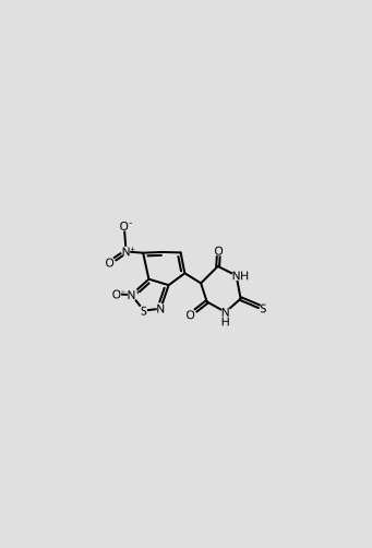 O=C1NC(=S)NC(=O)C1c1ccc([N+](=O)[O-])c2c1ns[n+]2[O-]